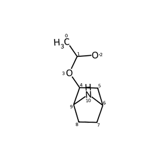 CC([O])OC1CC2CCC1N2